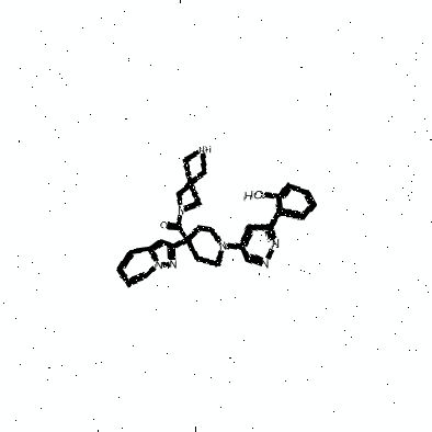 O=C(N1CC2(CNC2)C1)C1(c2cc3ccccn3n2)CCN(c2cnnc(-c3ccccc3O)c2)CC1